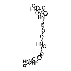 O=C(CCCOc1ccc(CC(=O)Nc2cc(C3CCC3)[nH]n2)cc1)NCCCOCCOCCOCCCNc1cccc2c1C(=O)N(C1CCC(=O)NC1=O)C2=O